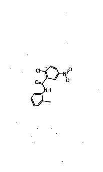 Cc1ccccc1NC(=O)c1cc([N+](=O)[O-])ccc1Cl